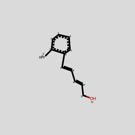 CCCc1ccccc1/C=C/C=C/CO